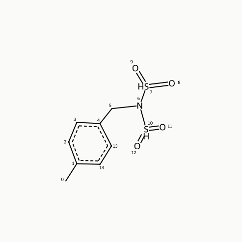 Cc1ccc(CN([SH](=O)=O)[SH](=O)=O)cc1